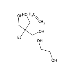 C=C.CCC(CO)(CO)CO.OCCO